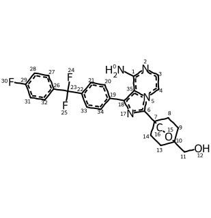 Nc1nccn2c(C34CCC(CO)(CC3)OC4)nc(-c3ccc(C(F)(F)c4ccc(F)cc4)cc3)c12